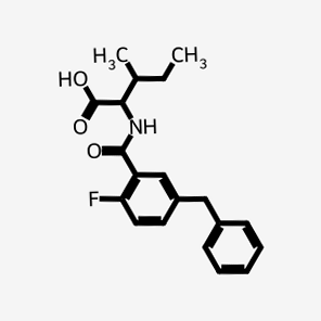 CCC(C)C(NC(=O)c1cc(Cc2ccccc2)ccc1F)C(=O)O